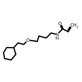 C=CC(=O)NCCCCOCCC1CCCCC1